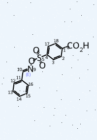 O=C(O)c1ccc(S(=O)(=O)O/N=C/c2ccccc2)cc1